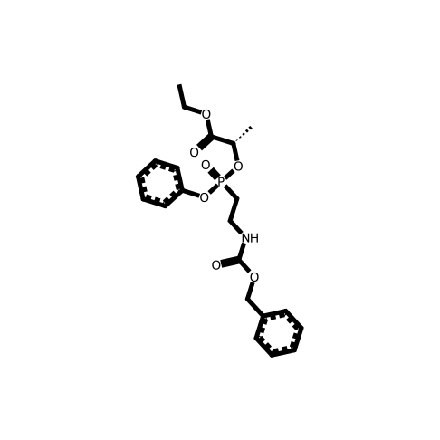 CCOC(=O)[C@H](C)OP(=O)(CCNC(=O)OCc1ccccc1)Oc1ccccc1